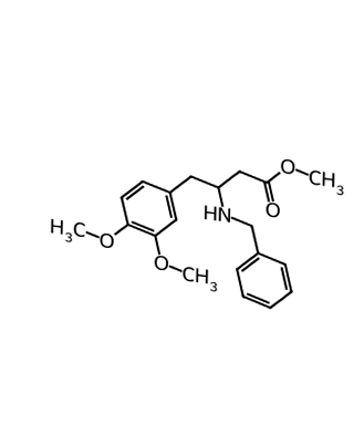 COC(=O)CC(Cc1ccc(OC)c(OC)c1)NCc1ccccc1